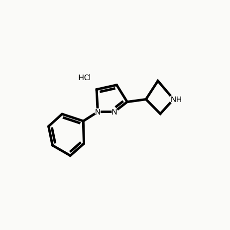 Cl.c1ccc(-n2ccc(C3CNC3)n2)cc1